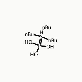 CCCC[SH](CCCC)(CCCC)=P(O)(O)O